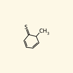 CC1C=CC=CC1=S